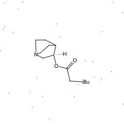 CCC(C)CC(=O)O[C@H]1CN2CCC1CC2